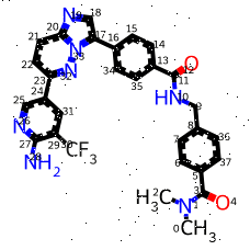 CN(C)C(=O)c1ccc(CNC(=O)c2ccc(-c3cnc4ccc(-c5cnc(N)c(C(F)(F)F)c5)nn34)cc2)cc1